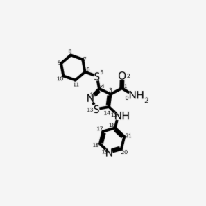 NC(=O)c1c(SC2CCCCC2)nsc1Nc1ccncc1